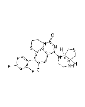 O=c1nc(N2CCN[C@@H]3CSC[C@@H]32)c2cc(Cl)c(-c3ccc(F)cc3F)c3c2n1CCS3